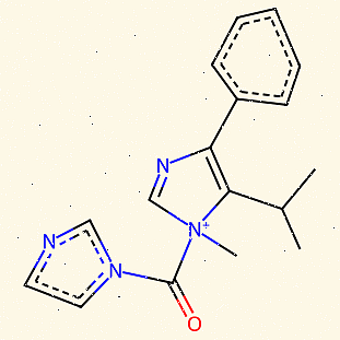 CC(C)C1=C(c2ccccc2)N=C[N+]1(C)C(=O)n1ccnc1